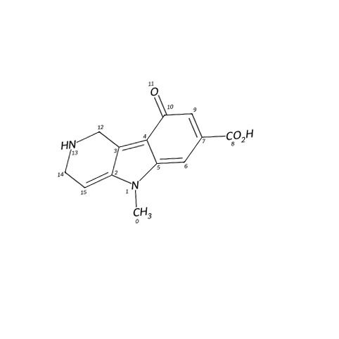 Cn1c2c(c3c1=CC(C(=O)O)=CC3=O)CNCC=2